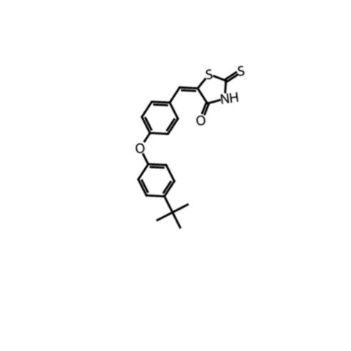 CC(C)(C)c1ccc(Oc2ccc(C=C3SC(=S)NC3=O)cc2)cc1